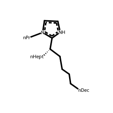 CCCCCCCCCCCCCC[C@H](CCCCCCC)c1[nH]cc[n+]1CCC